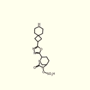 O=C1N2CC(CCC2c2nnc(C3CC4(CCNCC4)C3)o2)N1OS(=O)(=O)O